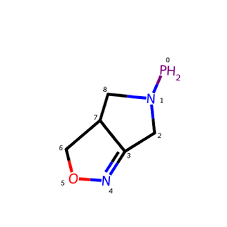 PN1CC2=NOCC2C1